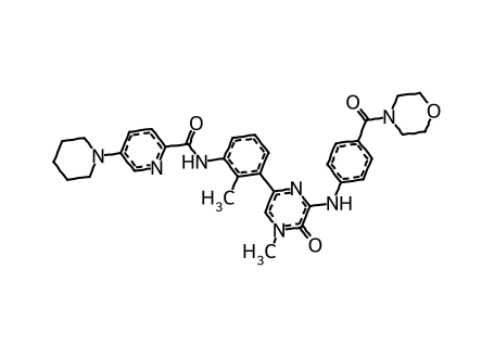 Cc1c(NC(=O)c2ccc(N3CCCCC3)cn2)cccc1-c1cn(C)c(=O)c(Nc2ccc(C(=O)N3CCOCC3)cc2)n1